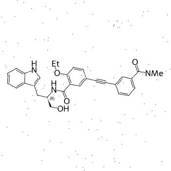 CCOc1ccc(C#Cc2cccc(C(=O)NC)c2)cc1C(=O)N[C@@H](CO)Cc1c[nH]c2ccccc12